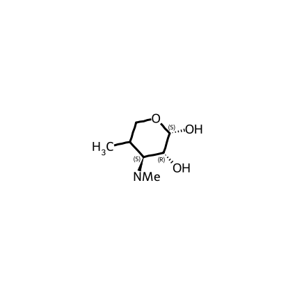 CN[C@H]1C(C)CO[C@H](O)[C@@H]1O